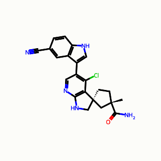 C[C@]1(C(N)=O)CC[C@@]2(CNc3ncc(-c4c[nH]c5ccc(C#N)cc45)c(Cl)c32)C1